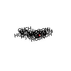 CC1O[C@@H](O[C@@H]2C(CO)O[C@@H](OC3CC[C@@]4(C)C(=CC[C@H]5[C@@H]6CC(=O)[C@H]([C@H](C)C(=O)CC[C@@H](C)CO[C@@H]7OC(CO)[C@@H](O)C(O)[C@@H]7O)[C@@]6(C)CC[C@@H]54)C3)[C@@H](O[C@@H]3OC(O)[C@H](O)C(O)[C@@H]3O)C2O)[C@@H](O)C(O)[C@H]1O